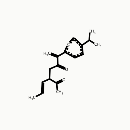 C=C(C(=O)CC(/C=C/C)C(C)=O)c1ccc(C(C)C)cc1